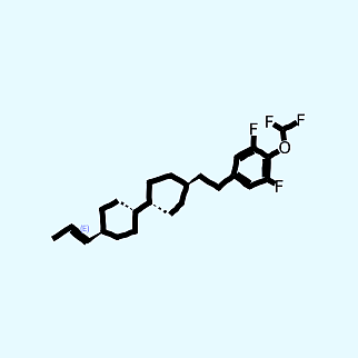 C/C=C/[C@H]1CC[C@H]([C@H]2CC[C@H](CCc3cc(F)c(OC(F)F)c(F)c3)CC2)CC1